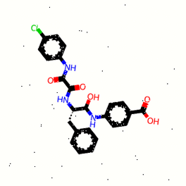 O=C(Nc1ccc(Cl)cc1)C(=O)N[C@@H](Cc1ccccc1)C(O)Nc1ccc(C(=O)O)cc1